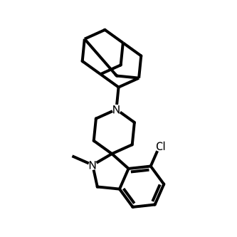 CN1Cc2cccc(Cl)c2C12CCN(C1C3CC4CC(C3)CC1C4)CC2